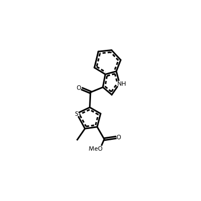 COC(=O)c1cc(C(=O)c2c[nH]c3ccccc23)sc1C